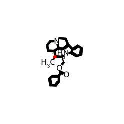 CC[C@]12CCCN3CCc4c(n(c5ccccc45)[C@@H](COC(=O)c4ccccc4)C1)[C@@H]32